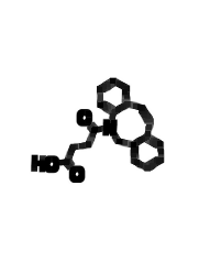 O=C(O)CCC(=O)N1Cc2ccccc2C=Cc2ccccc21